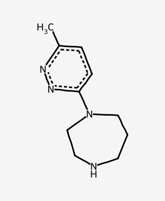 Cc1ccc(N2CCCNCC2)nn1